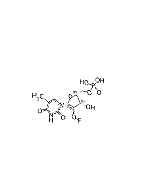 Cc1cn([C@@H]2O[C@H](COP(=O)(O)O)[C@H](O)[C@H]2OF)c(=O)[nH]c1=O